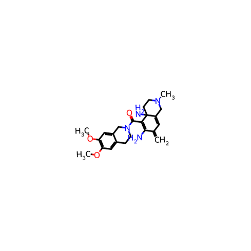 C=C1C=C2CN(C)CCC2(N)C(C(=O)N2CCc3cc(OC)c(OC)cc3C2)=C1N